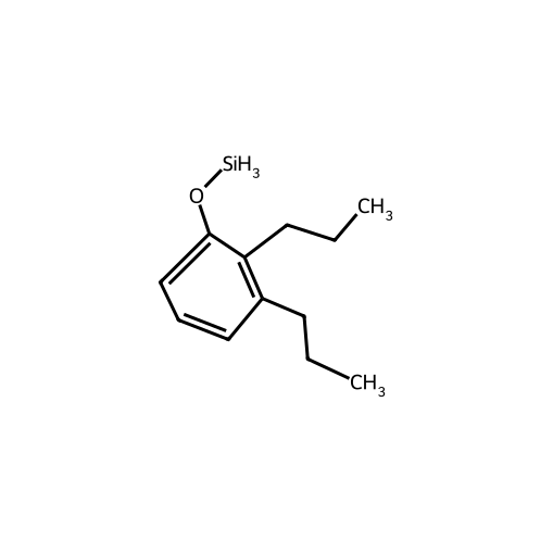 CCCc1cccc(O[SiH3])c1CCC